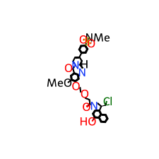 CNS(=O)(=O)c1ccc(C2=CCN3C(=O)c4cc(OC)c(OCCOCCC(=O)N5C[C@@H](CCl)c6c5cc(O)c5ccccc65)cc4N=C[C@@H]3C2)cc1